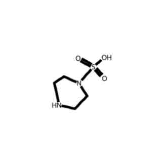 O=S(=O)(O)N1CCNCC1